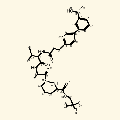 CC(NC(=O)C(NC(=O)CCc1ccc(-c2cccc([C@@H](C)O)c2)cn1)C(C)C)C(=O)N1CCCC(C(=O)OCC(Cl)(Cl)Cl)N1